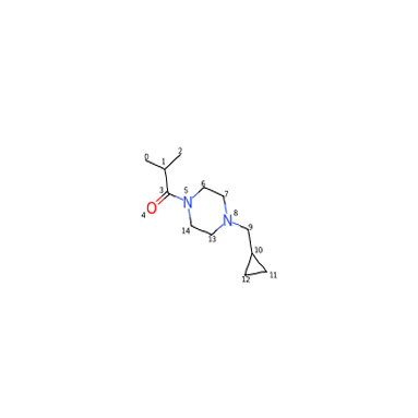 CC(C)C(=O)N1CCN(CC2CC2)CC1